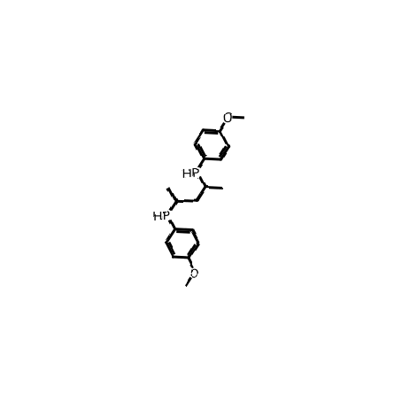 COc1ccc(PC(C)CC(C)Pc2ccc(OC)cc2)cc1